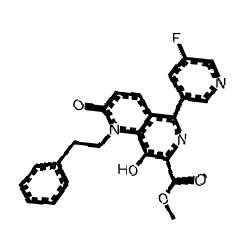 COC(=O)c1nc(-c2cncc(F)c2)c2ccc(=O)n(CCc3ccccc3)c2c1O